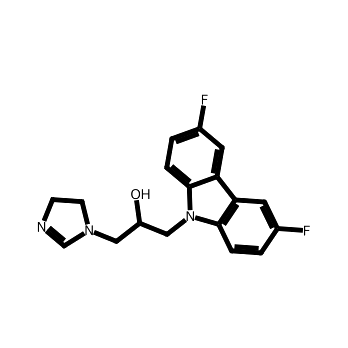 OC(CN1C=NCC1)Cn1c2ccc(F)cc2c2cc(F)ccc21